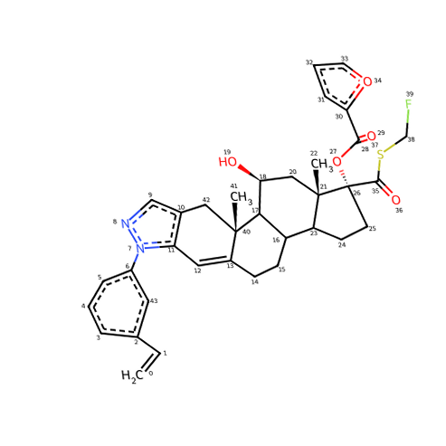 C=Cc1cccc(-n2ncc3c2C=C2CCC4C([C@@H](O)C[C@@]5(C)C4CC[C@]5(OC(=O)c4ccco4)C(=O)SCF)[C@@]2(C)C3)c1